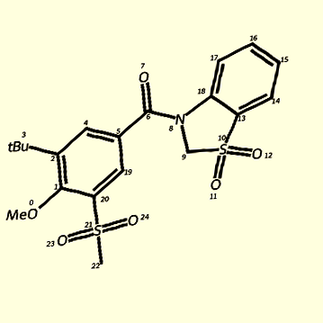 COc1c(C(C)(C)C)cc(C(=O)N2CS(=O)(=O)c3ccccc32)cc1S(C)(=O)=O